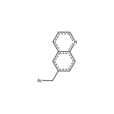 CC(=O)Cc1ccc2nc[c]cc2c1